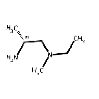 CCN(C)C[C@@H](C)N